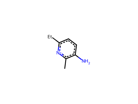 CCc1ccc(N)c(C)n1